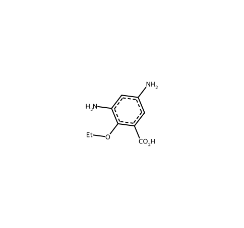 CCOc1c(N)cc(N)cc1C(=O)O